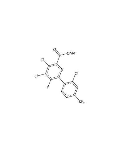 COC(=O)c1nc(-c2ccc(C(F)(F)F)cc2Cl)c(F)c(Cl)c1Cl